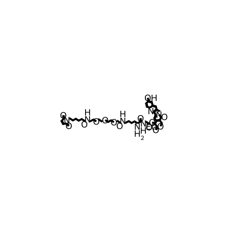 CC[C@@]1(OC(=O)CNC(=O)C(N)CCCCNC(=O)COCCOCCOCCNC(=O)CCCCCN2C(=O)C=CC2=O)C(=O)OCc2c1cc1n(c2=O)Cc2cc3cc(O)ccc3nc2-1